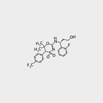 CC1(C)OC(N[C@@H](CCO)c2ccccc2F)=NS(=O)(=O)C1c1ccc(C(F)(F)F)cc1